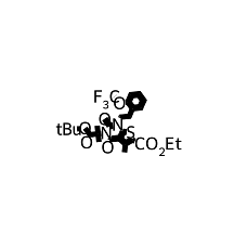 CCOC(=O)c1sc2c(c1C)c(=O)n(C(C)(C)C(=O)OC(C)(C)C)c(=O)n2CCc1ccccc1OC(F)(F)F